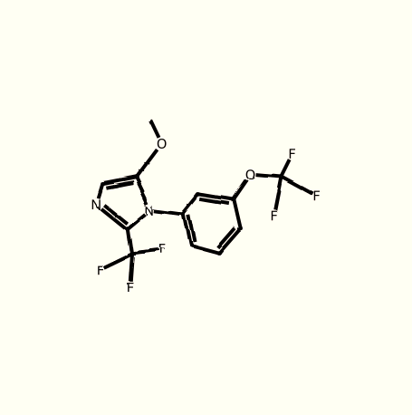 COc1cnc(C(F)(F)F)n1-c1cccc(OC(F)(F)F)c1